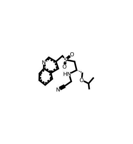 CC(C)OC[C@@H](CS(=O)(=O)Cc1cnc2ccccc2c1)NCC#N